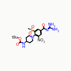 CC(C)(C)OC(=O)NC1CCN(c2c([N+](=O)[O-])cc(C(=O)N=C(N)N)cc2S(C)(=O)=O)CC1